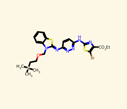 CCOC(=O)c1nc(Nc2ccc(/N=c3\sc4ccccc4n3COCC[Si](C)(C)C)nn2)sc1Br